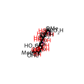 COC(O)C(O)C(O)C(CC=O)CC1OC(C(=O)O)C(CC(I)C(O)C(O)C(CC(O)C(O)C(O)C(OC)C(I)C(=O)O)C(O)C(=O)O)C(O)C1O